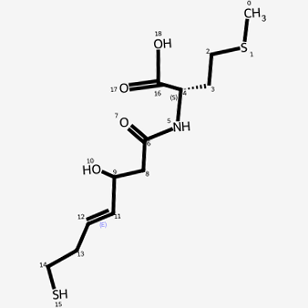 CSCC[C@H](NC(=O)CC(O)/C=C/CCS)C(=O)O